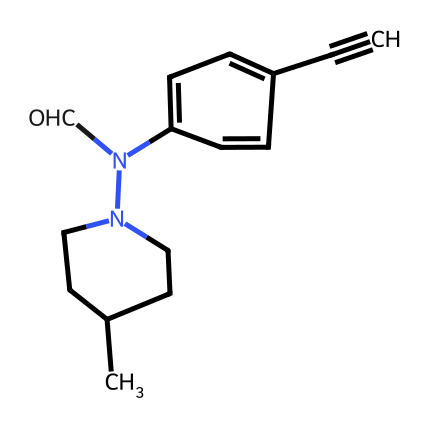 C#Cc1ccc(N(C=O)N2CCC(C)CC2)cc1